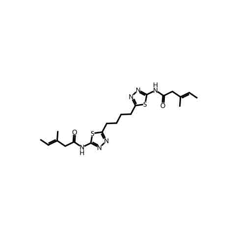 C/C=C(\C)CC(=O)Nc1nnc(CCCCc2nnc(NC(=O)C/C(C)=C/C)s2)s1